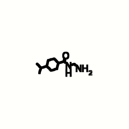 CC(C)C1CCC(C(=O)NCN)CC1